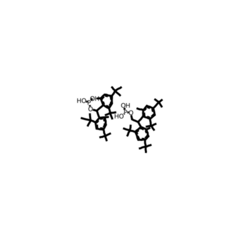 Cc1cc(C(C)(C)C)cc(C(C)(C)C)c1C(COP(O)O)c1c(C)cc(C(C)(C)C)cc1C(C)(C)C.Cc1cc(C(C)(C)C)cc(C(C)(C)C)c1C(OP(O)O)c1c(C)cc(C(C)(C)C)cc1C(C)(C)C